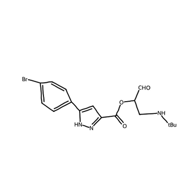 CC(C)(C)NCC(C=O)OC(=O)c1cc(-c2ccc(Br)cc2)[nH]n1